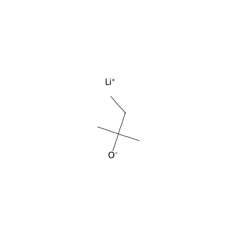 CCC(C)(C)[O-].[Li+]